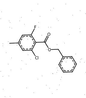 Cc1cc(F)c(C(=O)OCc2ccccc2)c(Cl)c1